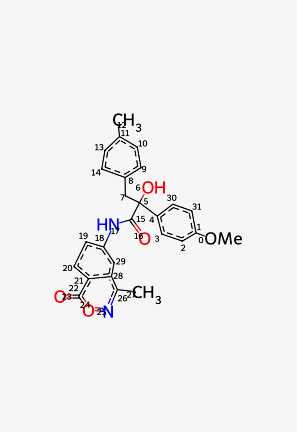 COc1ccc(C(O)(Cc2ccc(C)cc2)C(=O)Nc2ccc3c(=O)onc(C)c3c2)cc1